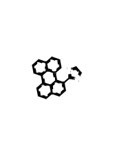 c1cc2cccc3c4c(-c5ncc[nH]5)ccc5cccc(c(c1)c23)c54